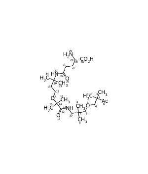 CC(=O)C(C)(C)COCC(C)(C)CNC(=O)C(C)(C)OCCC(C)(C)NC(=O)CC[C@H](N)C(=O)O